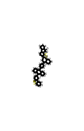 CC1(C)c2ccccc2-c2ccc3c(sc4c5ccccc5c(-c5ccc(-c6c7ccccc7c(-c7ccc8sc9ccccc9c8c7)c7ccccc67)cc5)cc34)c21